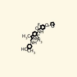 Cc1c(CN[C@H]2CC[C@@](C)(O)CC2)[nH]c2c(C)c(NC(=O)c3ccc(OC[C@@H]4CCCO4)cc3F)ccc12